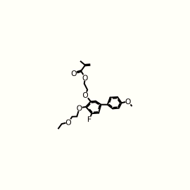 C=C(C)C(=O)OCCOc1cc(-c2ccc(OC)cc2)cc(F)c1OCCOCC